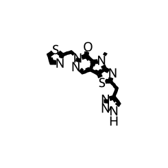 Cn1c2nc(Cc3c[nH]nn3)sc2c2cnn(Cc3nccs3)c(=O)c21